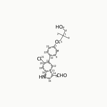 CC(C)(CO)COc1ccc(-c2cc3c(C=O)c[nH]c3cc2Cl)cc1